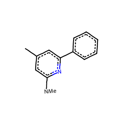 CNc1cc(C)cc(-c2ccccc2)n1